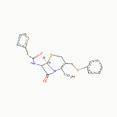 O=C(Cc1cccs1)NC1C(=O)N2C(C(=O)O)=C(CSc3ccccc3)CS[C@H]12